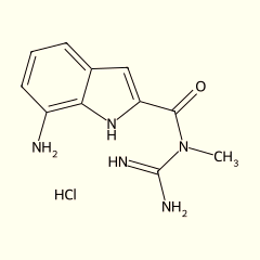 CN(C(=N)N)C(=O)c1cc2cccc(N)c2[nH]1.Cl